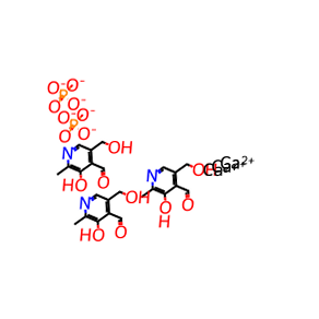 Cc1ncc(CO)c(C=O)c1O.Cc1ncc(CO)c(C=O)c1O.Cc1ncc(CO)c(C=O)c1O.O=P([O-])([O-])[O-].O=P([O-])([O-])[O-].[Ca+2].[Ca+2].[Ca+2]